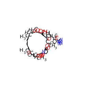 CO[C@H]1CC2CC[C@@H](C)[C@@](O)(C2)C(=O)C(=O)N2CCCC[C@H]2C(=O)O[C@H]([C@H](C)C[C@@H]2CC[C@H](n3cnnn3)[C@H](OC)C2)CC(=O)[C@H](C)/C=C(\C)[C@@H](O)[C@@H](OC)C(=O)[C@H](C)C[C@H](C)/C=C/C=C/C=C/1C